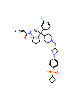 C=CC(=O)N[C@H]1CCC[C@@H]1[C@](C#N)(c1cccc(F)c1)C1CCN(CC2CN(c3ccc(S(=O)(=O)C4CCC4)cc3)C2)CC1